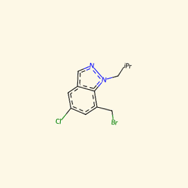 CC(C)Cn1ncc2cc(Cl)cc(CBr)c21